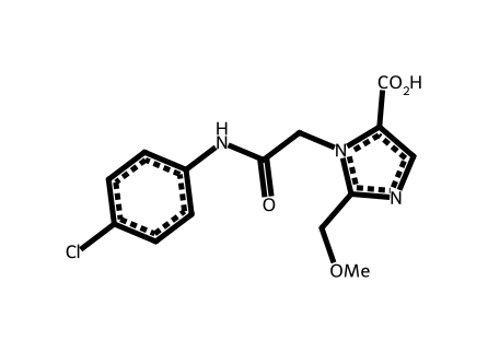 COCc1ncc(C(=O)O)n1CC(=O)Nc1ccc(Cl)cc1